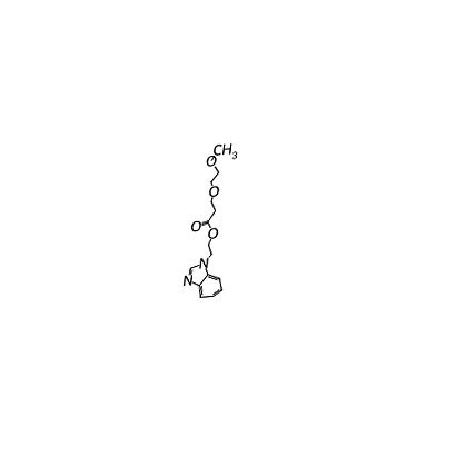 COCCOCCC(=O)OCCn1cnc2ccccc21